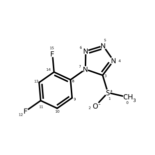 C[S+]([O-])c1nnnn1-c1ccc(F)cc1F